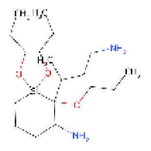 CCCOC1(C(C)CCN)C(N)CCC[Si]1(OCCC)OCCC